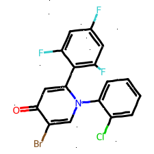 O=c1cc(-c2c(F)cc(F)cc2F)n(-c2ccccc2Cl)cc1Br